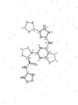 O=C(Nc1ncc[nH]1)[C@H]1CCCN1c1nc2c(c(Nc3cc(C4CCCC4)[nH]n3)n1)CCC2